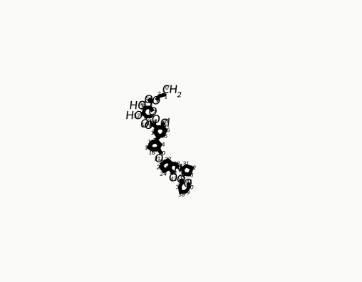 C=CCOC(=O)[C@H]1OC(OC(=O)c2cc(-c3cccc(COc4ccc5c(c4)CN(C4CCCC4OC4CCCCO4)C5=O)c3)ccc2Cl)[C@H](O)[C@@H](O)[C@@H]1O